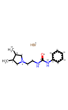 Br.CC1CN(CCNC(=O)Nc2ccccc2)CC1C